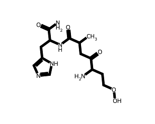 CC(CC(=O)C(N)CCOO)C(=O)NC(Cc1cnc[nH]1)C(N)=O